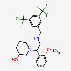 COc1ccccc1C(CNCc1cc(C(F)(F)F)cc(C(F)(F)F)c1)N1CCCC(O)C1